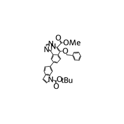 COC(=O)c1c(OCc2ccccc2)c2ccc(-c3ccc4ccn(C(=O)OC(C)(C)C)c4c3)cc2c2ncnn12